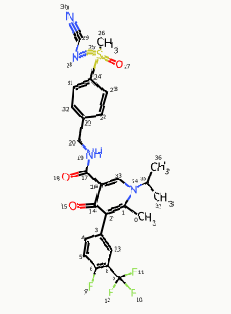 Cc1c(-c2ccc(F)c(C(F)(F)F)c2)c(=O)c(C(=O)NCc2ccc(S(C)(=O)=NC#N)cc2)cn1C(C)C